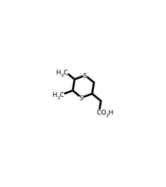 CC1SCC(CC(=O)O)SC1C